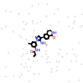 C=CC(=O)Nc1cc(C)cc(-n2ncc(-c3ccc4c(c3)CCNC4=O)c2N)c1